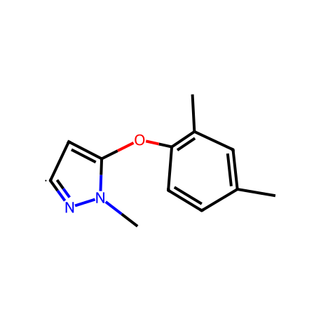 Cc1ccc(Oc2c[c]nn2C)c(C)c1